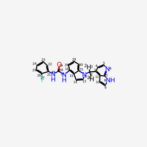 [2H]C([2H])(c1ccnc2[nH]ccc12)n1ccc2c(NC(=O)Nc3ccccc3F)cccc21